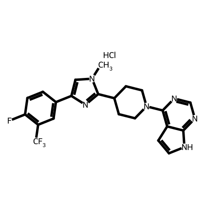 Cl.Cn1cc(-c2ccc(F)c(C(F)(F)F)c2)nc1C1CCN(c2ncnc3[nH]ccc23)CC1